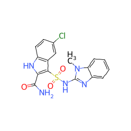 Cn1c(NS(=O)(=O)c2c(C(N)=O)[nH]c3ccc(Cl)cc23)nc2ccccc21